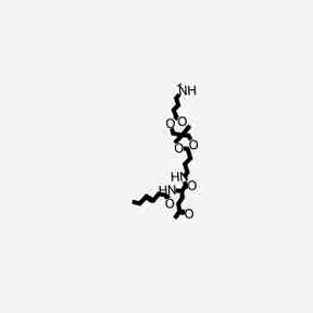 CC/C=C/CC(=O)NC(CCC(C)=O)C(=O)NCCCC1OCC2(COC(CCCNC)OC2)CO1